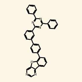 c1ccc(-c2nc(-c3ccccc3)nc(-c3cccc(-c4ccc(-c5cccc6c5oc5cncnc56)cc4)c3)n2)cc1